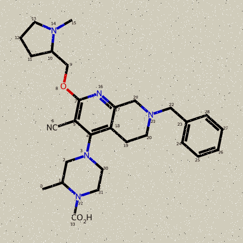 CC1CN(c2c(C#N)c(OCC3CCCN3C)nc3c2CCN(Cc2ccccc2)C3)CCN1C(=O)O